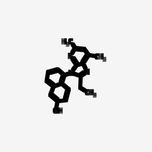 CCc1nc2c(C)cc(C)nc2n1-c1cccc2cc(O)ccc12